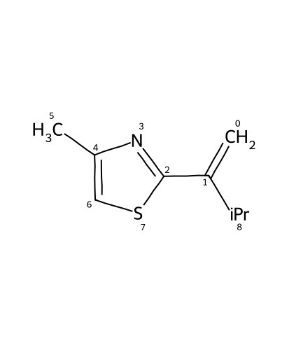 C=C(c1nc(C)cs1)C(C)C